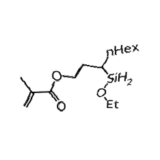 C=C(C)C(=O)OCCC(CCCCCC)[SiH2]OCC